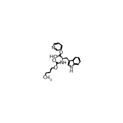 CCCCOC(=O)NC(Cc1c[nH]c2ccccc12)C(=O)O.c1ccncc1